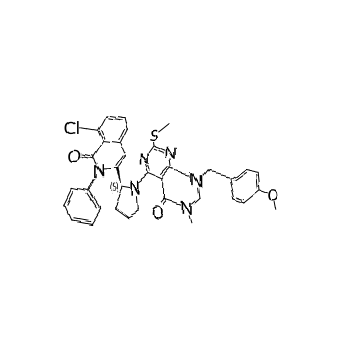 COc1ccc(CN2CN(C)C(=O)c3c2nc(SC)nc3N2CCC[C@H]2c2cc3cccc(Cl)c3c(=O)n2-c2ccccc2)cc1